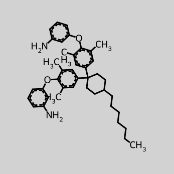 CCCCCCCC1CCC(c2cc(C)c(Oc3cccc(N)c3)c(C)c2)(c2cc(C)c(Oc3cccc(N)c3)c(C)c2)CC1